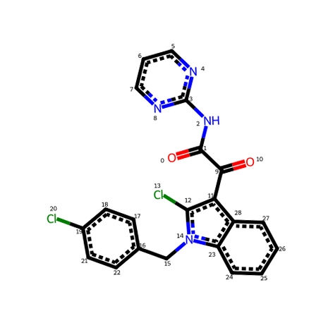 O=C(Nc1ncccn1)C(=O)c1c(Cl)n(Cc2ccc(Cl)cc2)c2ccccc12